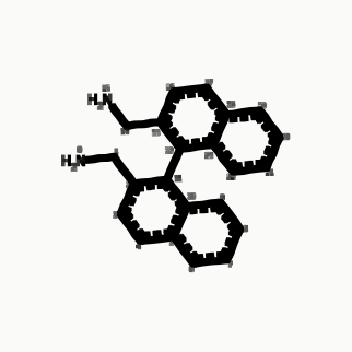 NCc1ccc2ccccc2c1-c1c(CN)ccc2ccccc12